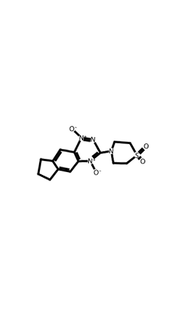 O=S1(=O)CCN(c2n[n+]([O-])c3cc4c(cc3[n+]2[O-])CCC4)CC1